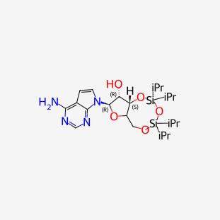 CC(C)[Si]1(C(C)C)OCC2O[C@@H](n3ccc4c(N)ncnc43)[C@H](O)[C@@H]2O[Si](C(C)C)(C(C)C)O1